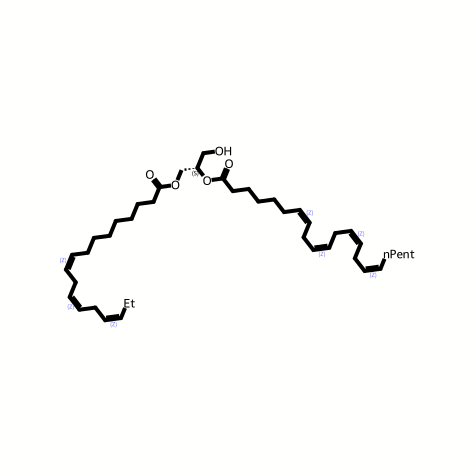 CC/C=C\C/C=C\C/C=C\CCCCCCCC(=O)OC[C@H](CO)OC(=O)CCCCC/C=C\C/C=C\C/C=C\C/C=C\CCCCC